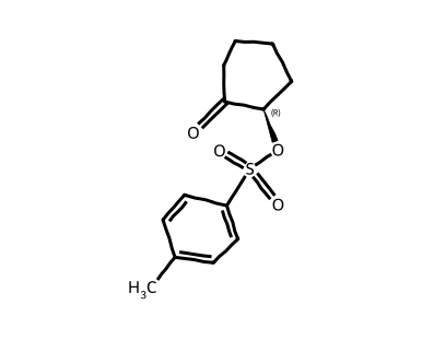 Cc1ccc(S(=O)(=O)O[C@@H]2CCCCC2=O)cc1